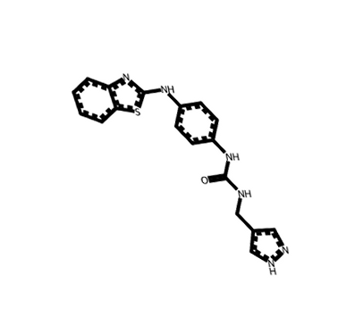 O=C(NCc1cn[nH]c1)Nc1ccc(Nc2nc3ccccc3s2)cc1